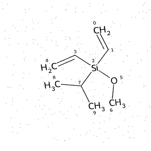 C=C[Si](C=C)(OC)C(C)C